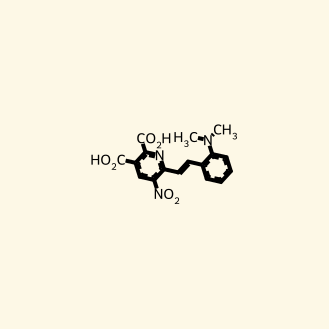 CN(C)c1ccccc1C=Cc1nc(C(=O)O)c(C(=O)O)cc1[N+](=O)[O-]